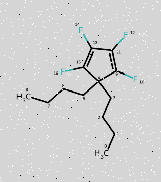 CCCCC1(CCCC)C(F)=C(F)C(F)=C1F